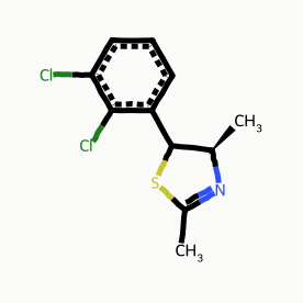 CC1=N[C@H](C)C(c2cccc(Cl)c2Cl)S1